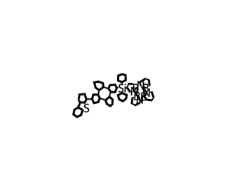 C1=CB2N(C=C1)B1C=CC=CN1B1C=CC([Si](c3ccccc3)(c3ccccc3)c3ccc4c(c3)-c3ccccc3-c3ccc(-c5cccc6c5sc5ccccc56)cc3-c3ccccc3-4)=CN1B1C=CC=CN21